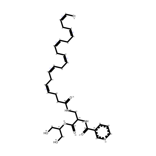 CC/C=C\C/C=C\C/C=C\C/C=C\C/C=C\C/C=C\CCC(=O)NCC(NC(=O)c1cccnc1)C(=O)OC(CO)CO